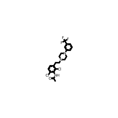 CC(=O)Nc1c(Cl)ccc(CCN2CCN(c3cccc(C(F)(F)F)c3)CC2)c1Cl